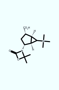 CC1(C)OC(=O)N1[C@@H]1C[C@H](C(=O)O)[C@H]2C([Si](C)(C)C)[C@H]21